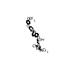 O=[N+]([O-])c1cn(CCC(O)COc2ccc3nc(N4CCC(Oc5ccc(OC(F)(F)F)cc5)CC4)ccc3c2)c(Cl)n1